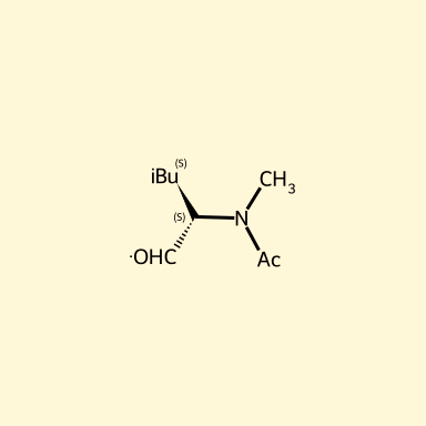 CC[C@H](C)[C@@H]([C]=O)N(C)C(C)=O